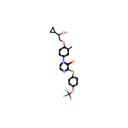 Cc1cc(-n2ccnc(Sc3ccc(OC(F)(F)F)cc3)c2=O)ccc1OCC(O)C1CC1